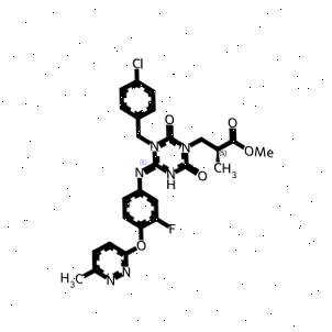 COC(=O)[C@@H](C)Cn1c(=O)[nH]/c(=N\c2ccc(Oc3ccc(C)nn3)c(F)c2)n(Cc2ccc(Cl)cc2)c1=O